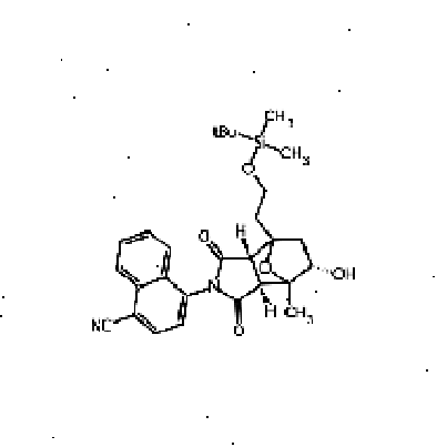 CC12OC(CCO[Si](C)(C)C(C)(C)C)(C[C@@H]1O)[C@H]1C(=O)N(c3ccc(C#N)c4ccccc34)C(=O)[C@H]12